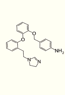 Nc1ccc(COc2ccccc2Oc2ccccc2CCN2C=NCC2)cc1